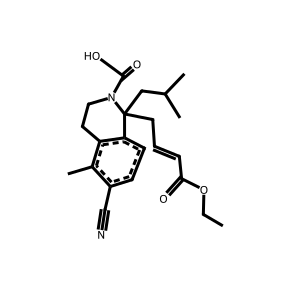 CCOC(=O)/C=C/CC1(CC(C)C)c2ccc(C#N)c(C)c2CCN1C(=O)O